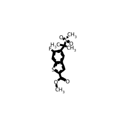 COC(=O)c1cc2cc(C(C)(C)S(C)(=O)=O)c(F)cc2s1